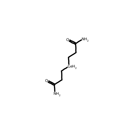 NC(=O)C[CH2][GeH2][CH2]CC(N)=O